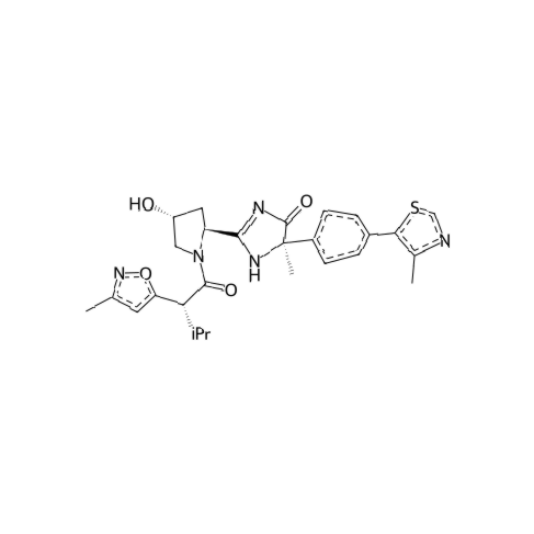 Cc1cc([C@H](C(=O)N2C[C@H](O)C[C@H]2C2=NC(=O)[C@@](C)(c3ccc(-c4scnc4C)cc3)N2)C(C)C)on1